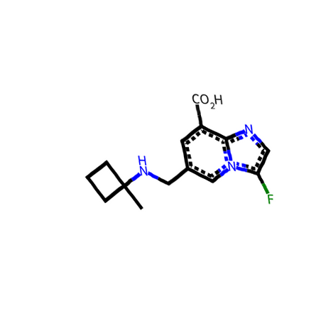 CC1(NCc2cc(C(=O)O)c3ncc(F)n3c2)CCC1